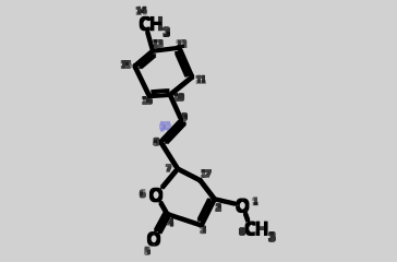 COC1=CC(=O)OC(/C=C/c2ccc(C)cc2)C1